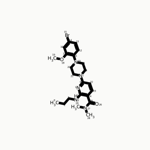 CCCNc1nc(N2CCN(c3ccc(Br)cc3OC)CC2)ccc1C(=O)N(C)C